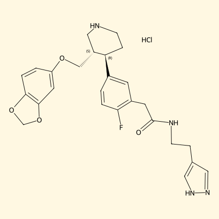 Cl.O=C(Cc1cc([C@@H]2CCNC[C@H]2COc2ccc3c(c2)OCO3)ccc1F)NCCc1cn[nH]c1